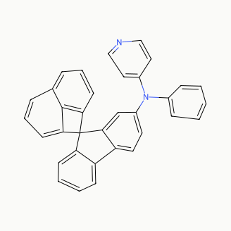 c1ccc(N(c2ccncc2)c2ccc3c(c2)C2(c4ccccc4-3)c3cccc4cccc2c34)cc1